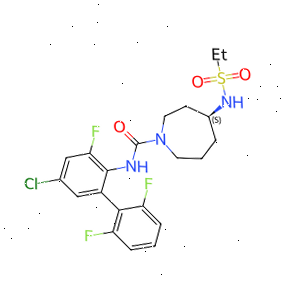 CCS(=O)(=O)N[C@H]1CCCN(C(=O)Nc2c(F)cc(Cl)cc2-c2c(F)cccc2F)CC1